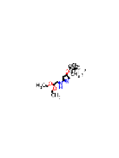 CCOC(CNC1=NCC(O[Si](C)(C)C(C)(C)C)C1)OCC